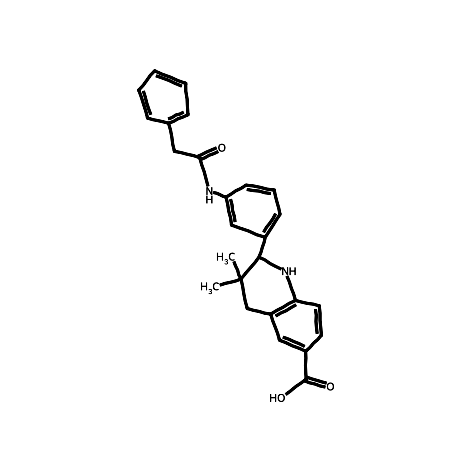 CC1(C)Cc2cc(C(=O)O)ccc2NC1c1cccc(NC(=O)Cc2ccccc2)c1